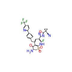 N#CC1(c2nc(C3=C(F)NC4=C(C(=O)[C@@H](N)CS4(=O)=O)C(Cc4ccc(-c5ccc(C(F)(F)F)cn5)cc4)=C3)no2)CC1